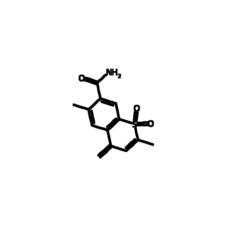 C=C1C=C(C)S(=O)(=O)c2cc(C(N)=O)c(C)cc21